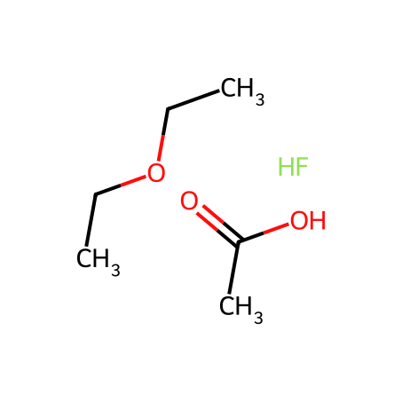 CC(=O)O.CCOCC.F